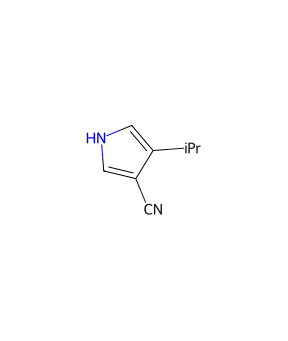 CC(C)c1c[nH]cc1C#N